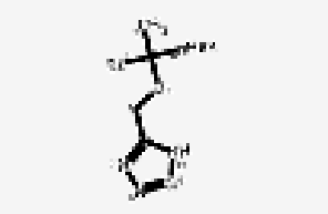 CCCCCCC(C)(CC)OCc1nnn[nH]1